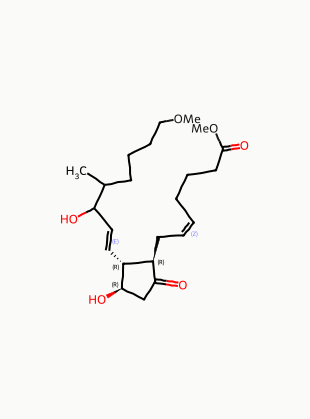 COCCCCC(C)C(O)/C=C/[C@H]1[C@H](O)CC(=O)[C@@H]1C/C=C\CCCC(=O)OC